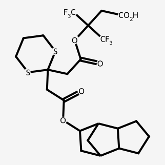 O=C(O)CC(OC(=O)CC1(CC(=O)OC2CC3CC2C2CCCC32)SCCCS1)(C(F)(F)F)C(F)(F)F